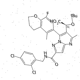 Cc1nc2cc(C(=O)NCc3ccc(Cl)cc3Cl)nn2c(-c2cc(F)c3c(c2C)CCCO3)c1[C@H](OC(C)(C)C)C(=O)O